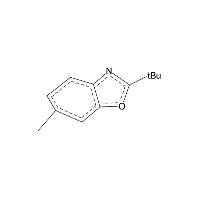 Cc1ccc2nc(C(C)(C)C)oc2c1